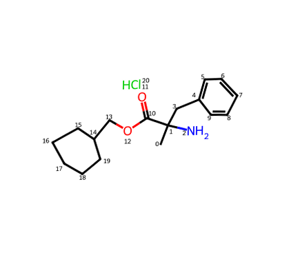 CC(N)(Cc1ccccc1)C(=O)OCC1CCCCC1.Cl